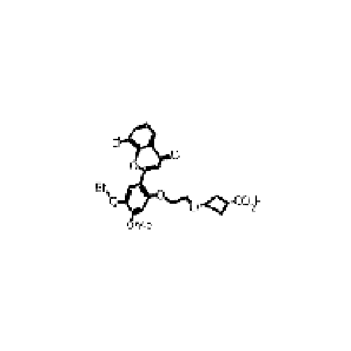 CCOc1cc(-c2cc(=O)c3cccc(Cl)c3o2)c(OCCO[C@H]2C[C@@H](C(=O)O)C2)cc1OC